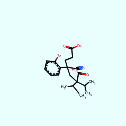 CC(C)C(CC(C#N)(CCC(=O)O)c1ccccc1Br)(C(=O)O)C(C)C